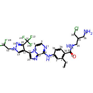 CCc1cc(Nc2nccn3c(-c4cn(CC(F)F)nc4C(F)(F)F)cnc23)ccc1C(=O)NCC(CN)CCl